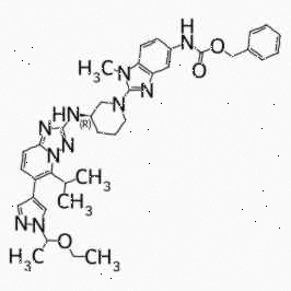 CCOC(C)n1cc(-c2ccc3nc(N[C@@H]4CCCN(c5nc6cc(NC(=O)OCc7ccccc7)ccc6n5C)C4)nn3c2C(C)C)cn1